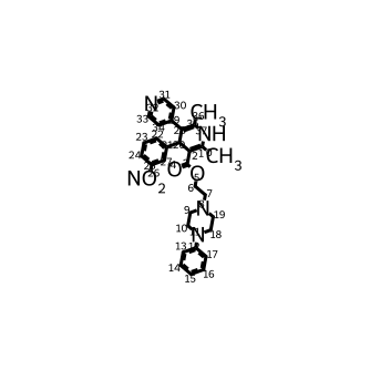 CC1=C(C(=O)OCCN2CCN(c3ccccc3)CC2)C(c2cccc([N+](=O)[O-])c2)C(c2ccncc2)=C(C)N1